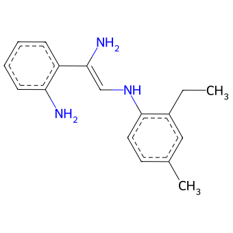 CCc1cc(C)ccc1N/C=C(\N)c1ccccc1N